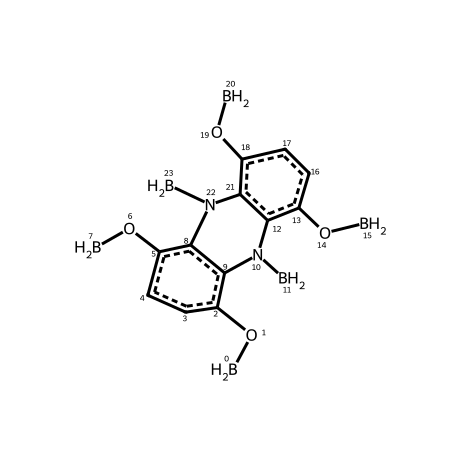 BOc1ccc(OB)c2c1N(B)c1c(OB)ccc(OB)c1N2B